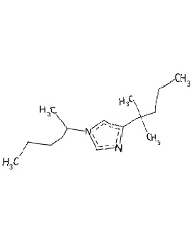 CCCC(C)n1cnc(C(C)(C)CCC)c1